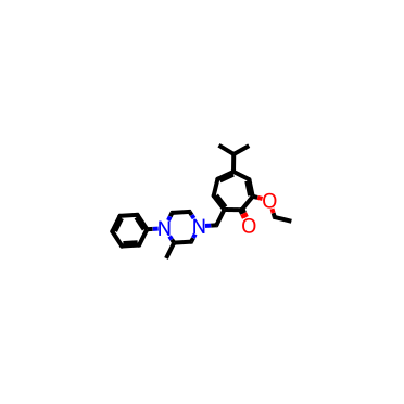 CCOc1cc(C(C)C)ccc(CN2CCN(c3ccccc3)C(C)C2)c1=O